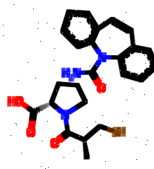 C[C@H](CS)C(=O)N1CCC[C@H]1C(=O)O.NC(=O)N1c2ccccc2C=Cc2ccccc21